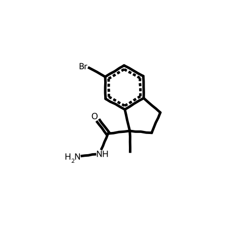 CC1(C(=O)NN)CCc2ccc(Br)cc21